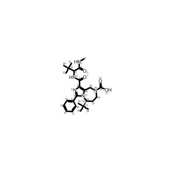 CNC(=O)C(NC(=O)c1nc(-c2ccccc2)n2c1CN(C(=O)O)CC[C@H]2C(C)(C)C)C(C)(C)C